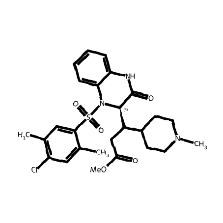 COC(=O)CC(C1CCN(C)CC1)[C@@H]1C(=O)Nc2ccccc2N1S(=O)(=O)c1cc(C)c(Cl)cc1C